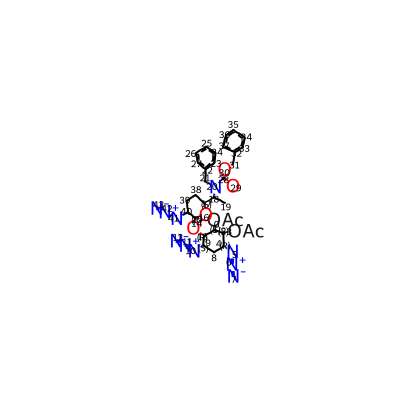 CC(=O)O[C@@H]1[C@@H](OC(C)=O)[C@H](N=[N+]=[N-])C[C@H](N=[N+]=[N-])[C@H]1O[C@H]1O[C@H](C(C)N(Cc2ccccc2)C(=O)OCc2ccccc2)CCC1N=[N+]=[N-]